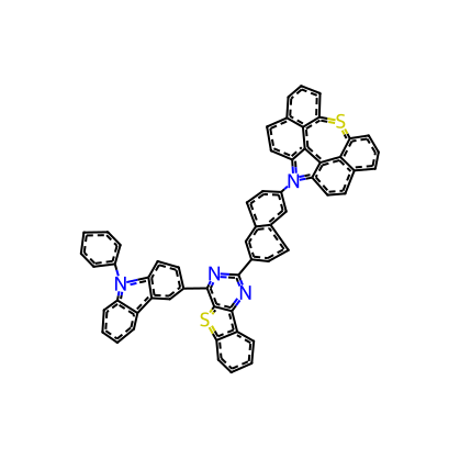 c1ccc(-n2c3ccccc3c3cc(-c4nc(-c5ccc6cc(-n7c8ccc9cccc%10sc%11cccc%12ccc7c(c%12%11)c8c9%10)ccc6c5)nc5c4sc4ccccc45)ccc32)cc1